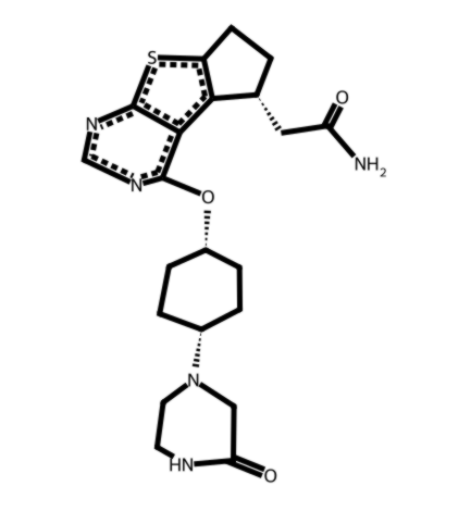 NC(=O)C[C@H]1CCc2sc3ncnc(O[C@H]4CC[C@@H](N5CCNC(=O)C5)CC4)c3c21